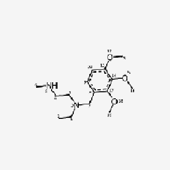 CCN(CCNC)Cc1ccc(OC)c(OC)c1OC